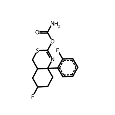 NC(=O)OC1=NC2(c3ccccc3F)CCC(F)CC2CS1